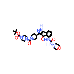 CC(C)(C)OC(=O)N1CCN(C(=O)N2CCC(c3n[nH]c4c3C(=O)c3c(NC(=O)NN5CCOCC5)cccc3-4)CC2)CC1